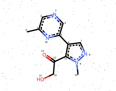 Cc1cncc(-c2cnn(C)c2C(=O)CO)n1